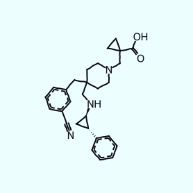 N#Cc1cccc(CC2(CN[C@@H]3C[C@H]3c3ccccc3)CCN(CC3(C(=O)O)CC3)CC2)c1